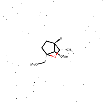 COC[C@]12CC[C@@H](C1OC)[C@H](C)O2